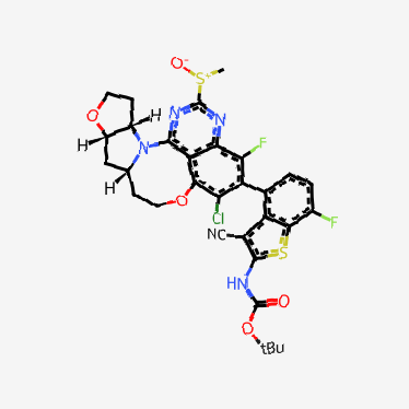 C[S+]([O-])c1nc2c3c(c(Cl)c(-c4ccc(F)c5sc(NC(=O)OC(C)(C)C)c(C#N)c45)c(F)c3n1)OCC[C@@H]1C[C@@H]3OCC[C@@H]3N21